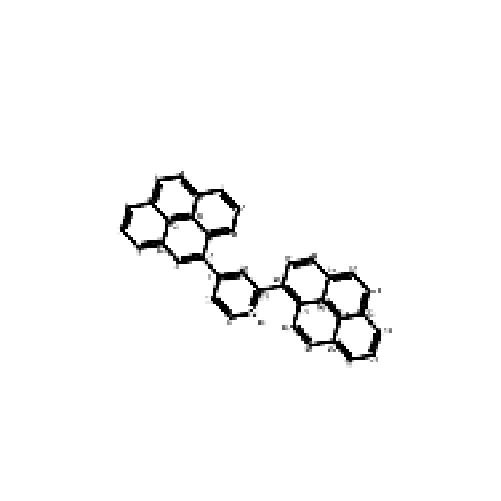 c1cc2ccc3cccc4c(-c5ccnc(-c6ccc7ccc8cccc9ccc6c7c89)c5)cc(c1)c2c34